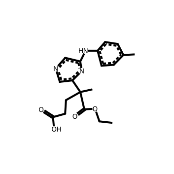 CCOC(=O)C(C)(CCC(=O)O)c1cncc(Nc2ccc(C)cc2)n1